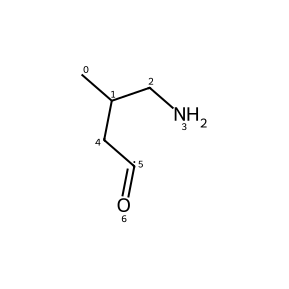 CC(CN)C[C]=O